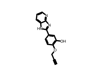 C#CCOc1ccc(-c2nc3ncccc3[nH]2)cc1O